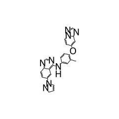 Cc1cc(Nc2ncnc3ccc(-n4cccn4)cc23)ccc1Oc1ccn2ncnc2c1